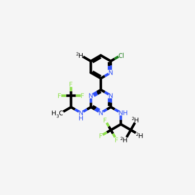 [2H]c1cc(Cl)nc(-c2nc(NC(C)C(F)(F)F)nc(NC(C([2H])([2H])[2H])C(F)(F)F)n2)c1